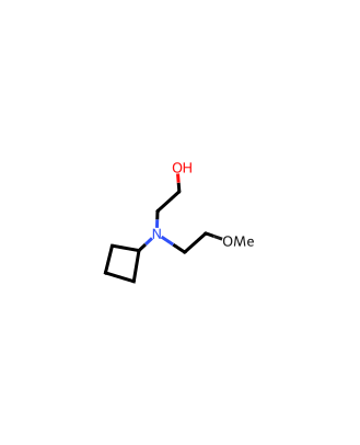 COCCN(CCO)C1CCC1